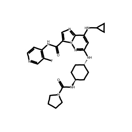 O=C(Nc1ccncc1F)c1cnc2c(NC3CC3)cc(N[C@H]3CC[C@H](NC(=O)N4CCCC4)CC3)nn12